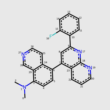 CN(C)c1ccc(-c2cc(-c3ccccc3F)nc3ncccc23)c2ccncc12